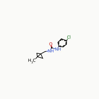 CC12CC1(CNC(=O)Nc1ccc(Cl)cc1)C2